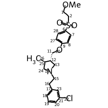 COCCS(=O)(=O)c1ccc(OC[C@@H]2CN(CCc3cccc(Cl)c3)C[C@H]2C)cc1